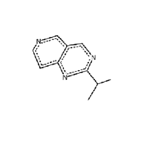 CC(C)c1ncc2cnccc2n1